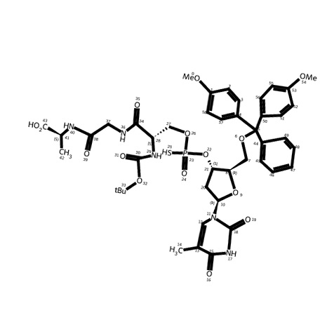 COc1ccc(C(OC[C@H]2O[C@@H](n3cc(C)c(=O)[nH]c3=O)C[C@@H]2OP(=O)(S)OC[C@H](NC(=O)OC(C)(C)C)C(=O)NCC(=O)N[C@@H](C)C(=O)O)(c2ccccc2)c2ccc(OC)cc2)cc1